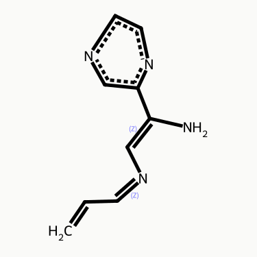 C=C/C=N\C=C(/N)c1cnccn1